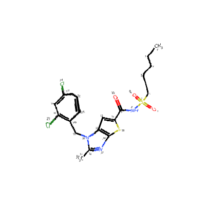 CCCCCS(=O)(=O)NC(=O)c1cc2c(nc(C)n2Cc2ccc(Cl)cc2Cl)s1